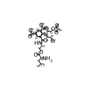 CC(C)CC(N)C(=O)OCCNC(=O)c1cc([N+](=O)[O-])cc([N+](=O)[O-])c1N(CCBr)CCOS(C)(=O)=O